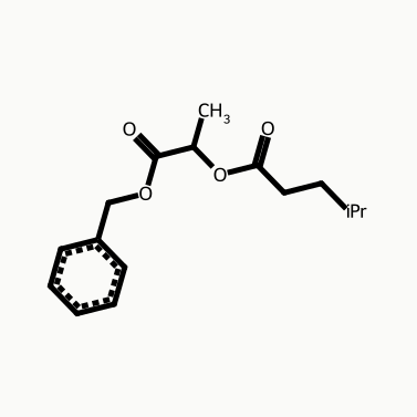 CC(C)CCC(=O)OC(C)C(=O)OCc1ccccc1